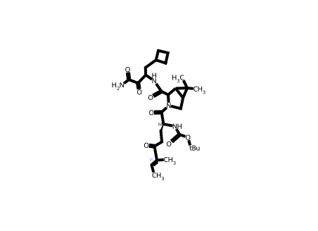 C/C=C(\C)C(=O)CC[C@H](NC(=O)OC(C)(C)C)C(=O)N1CC2C(C1C(=O)NC(CC1CCC1)C(=O)C(N)=O)C2(C)C